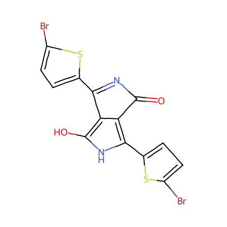 O=C1N=C(c2ccc(Br)s2)c2c(O)[nH]c(-c3ccc(Br)s3)c21